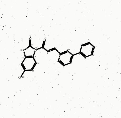 O=C(/C=C/c1cccc(-c2ccccc2)c1)n1c(=O)sc2cc(Cl)ccc21